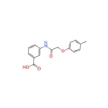 Cc1ccc(OCC(=O)Nc2cccc(C(=O)O)c2)cc1